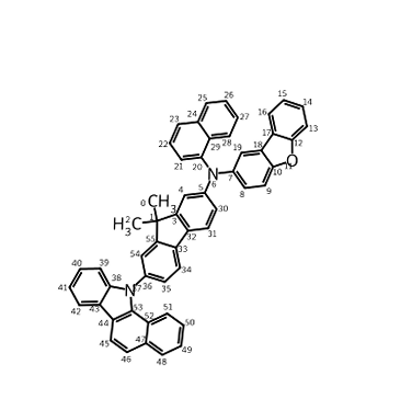 CC1(C)c2cc(N(c3ccc4oc5ccccc5c4c3)c3cccc4ccccc34)ccc2-c2ccc(-n3c4ccccc4c4ccc5ccccc5c43)cc21